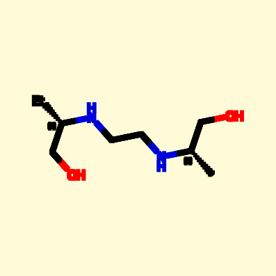 CC[C@@H](CO)NCCN[C@@H](C)CO